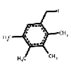 Cc1[c]c(CF)c(C)c(C)c1C